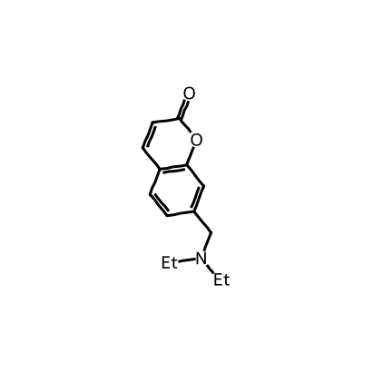 CCN(CC)Cc1ccc2ccc(=O)oc2c1